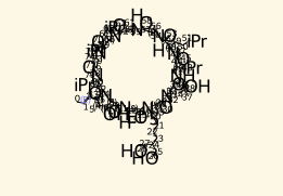 C/C=C/C[C@@H](C)[C@@H](O)[C@H]1C(=O)N[C@@H](CC)C(=O)N(C)[C@H](CSCCCC(CO)CO)C(=O)N(C)[C@@H](CC(C)(C)O)C(=O)N[C@H](C(C)C)C(=O)N(C)[C@H](CCC(C)C)C(=O)N[C@H](C)C(=O)N[C@@H](C)C(=O)N(C)[C@H](CC(C)C)C(=O)N(C)[C@@H](CC(C)C)C(=O)N(C)[C@@H](C(C)C)C(=O)N1C